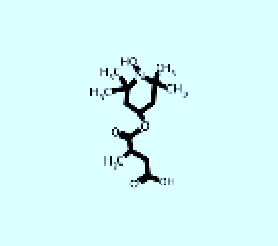 CC(CC(=O)O)C(=O)OC1CC(C)(C)N(O)C(C)(C)C1